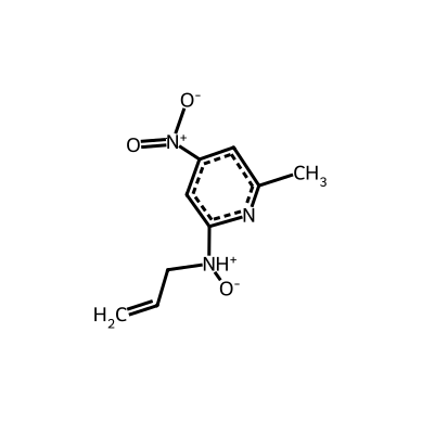 C=CC[NH+]([O-])c1cc([N+](=O)[O-])cc(C)n1